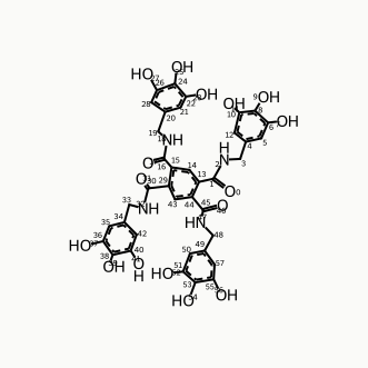 O=C(NCc1cc(O)c(O)c(O)c1)c1cc(C(=O)NCc2cc(O)c(O)c(O)c2)c(C(=O)NCc2cc(O)c(O)c(O)c2)cc1C(=O)NCc1cc(O)c(O)c(O)c1